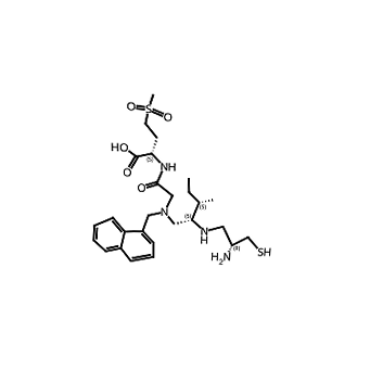 CC[C@H](C)[C@@H](CN(CC(=O)N[C@@H](CCS(C)(=O)=O)C(=O)O)Cc1cccc2ccccc12)NC[C@@H](N)CS